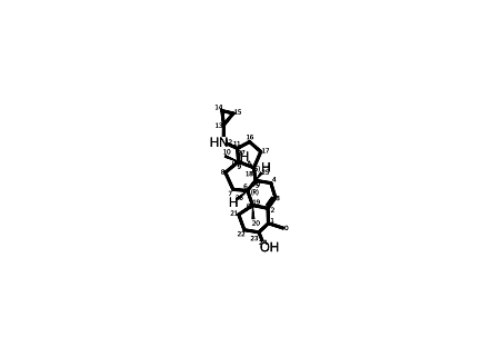 CC1C2=CC[C@@H]3[C@@H](CC[C@]4(C)C(NC5CC5)CC[C@@H]34)[C@@]2(C)CCC1O